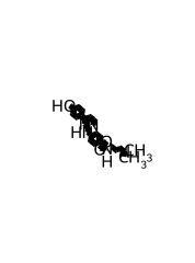 CN(C)CCCNS(=O)(=O)c1ccc(Nc2nccc(-c3ccc(O)cc3)n2)cc1